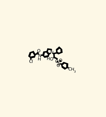 Cc1ccc(S(=O)(=O)OCC(O)C(c2ccccc2)N2CCc3cc(NC(=O)c4cccc(Cl)c4)ccc32)cc1